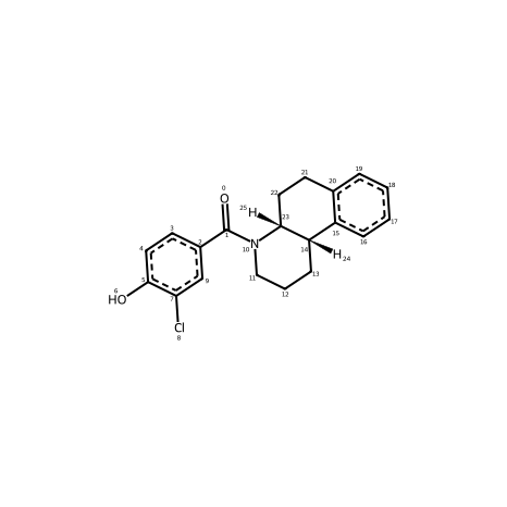 O=C(c1ccc(O)c(Cl)c1)N1CCC[C@H]2c3ccccc3CC[C@H]21